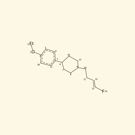 CCOc1ccc(C2CCC(CC/C=C/F)CC2)cc1